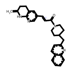 C=C1CCc2cc(/C=C/C(=O)N3CCC(Cc4ccc5ccccc5n4)CC3)cnc2N1